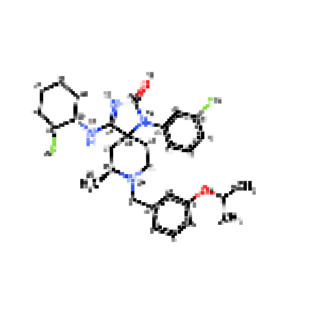 CC(C)Oc1cccc(CN2CCC3(C[C@@H]2C)C(N[C@H]2CCCC[C@@H]2F)=NC(=O)N3c2cccc(F)c2)c1